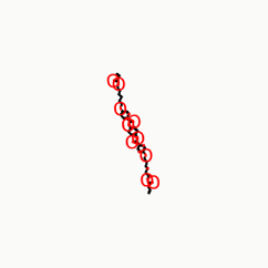 C=CCC(=O)OCCCCCCOc1ccc(C(=O)Oc2ccc(OC(=O)c3ccc(OCCCCCCOC(=O)C=C)cc3)cc2)cc1